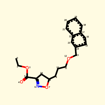 CCOC(=O)C1=NOC(CCCOCc2ccc3ccccc3c2)C1